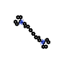 CC1(C)c2cc(-c3ccc(-c4ccc(-c5ccc6c(c5)C(C)(C)c5cc(-c7nc(-c8cccc9ccccc89)cc(-c8cccc9ccccc89)n7)ccc5-6)cc4)cc3)ccc2-c2ccc(-c3nc(-c4cccc5ccccc45)cc(-c4cccc5ccccc45)n3)cc21